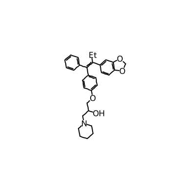 CCC(=C(c1ccccc1)c1ccc(OCC(O)CN2CCCCC2)cc1)c1ccc2c(c1)OCO2